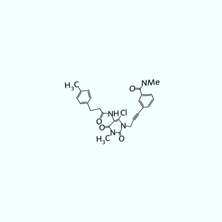 CNC(=O)c1cccc(C#CCn2c(Cl)c(NC(=O)CCc3ccc(C)cc3)c(=O)n(C)c2=O)c1